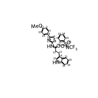 COc1ccc(-c2csc(NC(=O)CCc3c[nH]c4ccccc34)n2)cc1.O=S(=O)(NC(F)(F)F)c1ccccc1